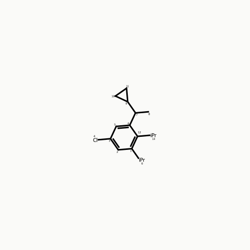 CC(C)c1cc(Cl)cc(C(C)C2CC2)c1C(C)C